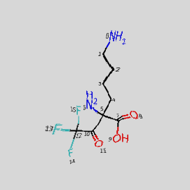 NCCCCC(N)(C(=O)O)C(=O)C(F)(F)F